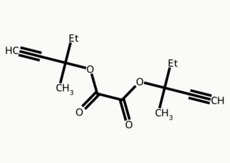 C#CC(C)(CC)OC(=O)C(=O)OC(C)(C#C)CC